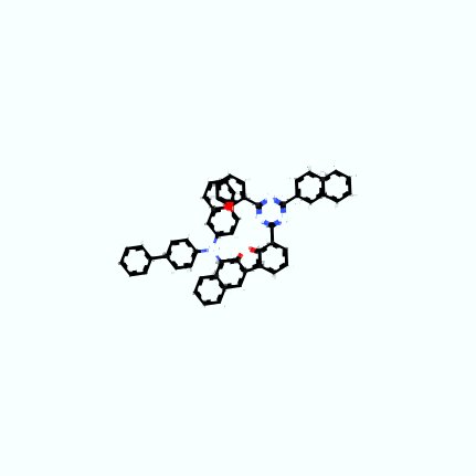 c1ccc(-c2ccc(N(c3ccc4ccccc4c3)c3c4ccccc4cc4c3oc3c(-c5nc(-c6ccccc6)nc(-c6ccc7ccccc7c6)n5)cccc34)cc2)cc1